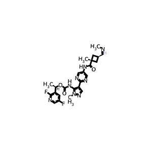 C/N=C\[C@H]1C[C@](C)(C(=O)Nc2cnc(-c3cnn(C)c3NC(=O)O[C@H](C)c3cc(F)cnc3F)nc2)C1